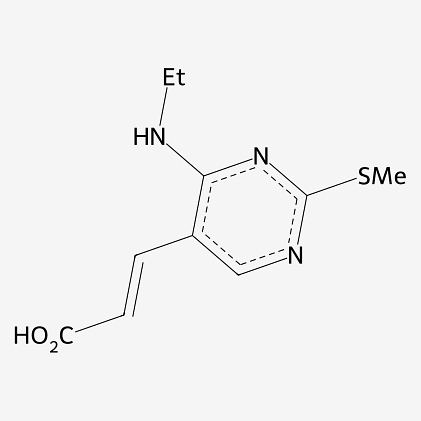 CCNc1nc(SC)ncc1C=CC(=O)O